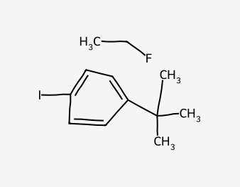 CC(C)(C)c1ccc(I)cc1.CCF